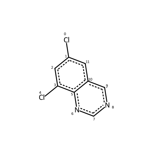 Clc1cc(Cl)c2ncn[c]c2c1